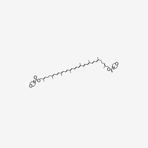 C=C(OC/C(C)=C/CC/C(C)=C/C=C/C(C)=C/C=C/C(C)=C/C=C/C=C(C)/C=C/C=C(C)/C=C/C=C(\C)CC/C=C(\C)COC(=O)N1CCOCC1)N1CCOCC1